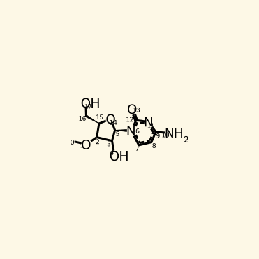 COC1C(O)[C@H](n2ccc(N)nc2=O)O[C@@H]1CO